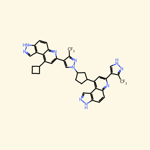 FC(F)(F)c1n[nH]cc1-c1cc(C2CCC(n3cc(-c4cc(C5CCC5)c5c(ccc6[nH]ncc65)n4)c(C(F)(F)F)n3)C2)c2c(ccc3[nH]ncc32)n1